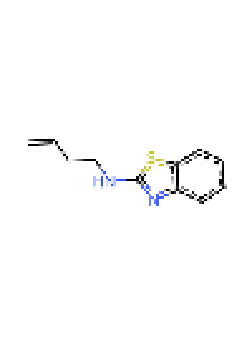 C=CCCNc1nc2ccccc2s1